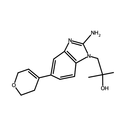 CC(C)(O)Cn1c(N)nc2cc(C3=CCOCC3)ccc21